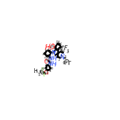 CC(C)CN1CCC2(CC1)CN(c1ccccc1NC(=O)Nc1ccc(OC(C)(F)F)cc1)c1c(O)ccc(C(F)(F)F)c12